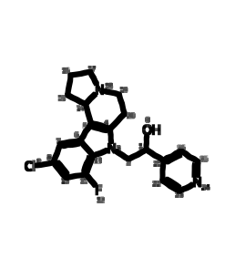 OC(Cn1c2c(c3cc(Cl)cc(F)c31)C1CCCN1CC2)c1ccncc1